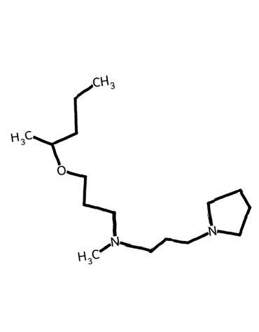 CCCC(C)OCCCN(C)CCCN1CCCC1